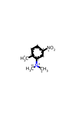 Cc1ccc([N+](=O)[O-])cc1N(C)C